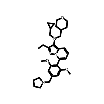 CCc1nn2c(-c3c(OC)cc(CN4CCCC4)cc3OC)cccc2c1N(CC1CCOCC1)CC1CC1